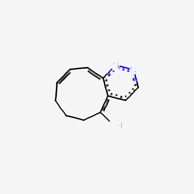 C\C1=c2/ccnn/c2=C/C=C\CCC1